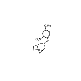 COc1ccc(/C=C2\CC3CCC34C[C@H]4C2)c([N+](=O)[O-])c1